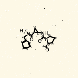 CN(Cc1ccccc1)C(=O)C1CC1NC(=O)N1CCC[C@H]1C=O